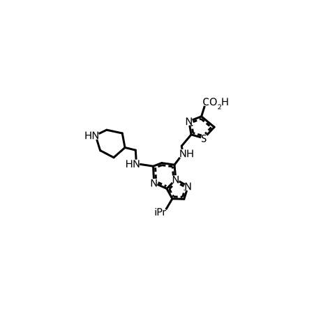 CC(C)c1cnn2c(NCc3nc(C(=O)O)cs3)cc(NCC3CCNCC3)nc12